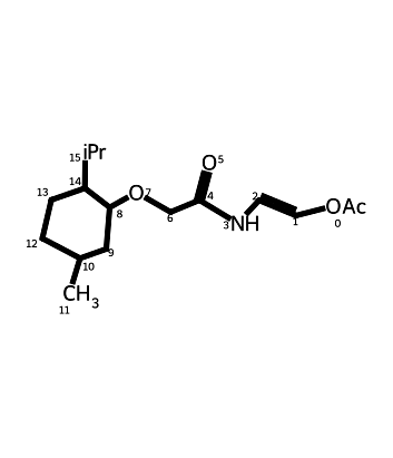 CC(=O)OC=CNC(=O)COC1CC(C)CCC1C(C)C